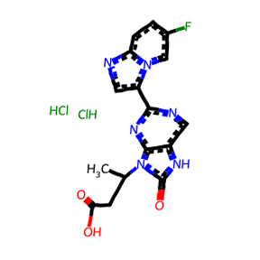 CC(CC(=O)O)n1c(=O)[nH]c2cnc(-c3cnc4ccc(F)cn34)nc21.Cl.Cl